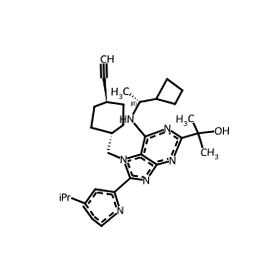 C#C[C@H]1CC[C@H](Cn2c(-c3cc(C(C)C)ccn3)nc3nc(C(C)(C)O)nc(N[C@H](C)C4CCC4)c32)CC1